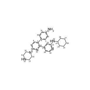 Nc1ccc(-c2ccc(N3CCNCC3)nc2-c2ccnc(NC3CCCCC3)c2)cc1